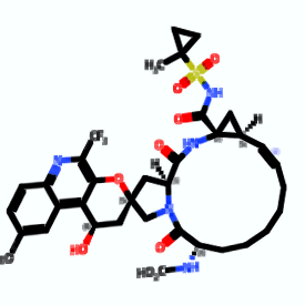 COc1ccc2nc(C(F)(F)F)c3c(c2c1)[C@H](O)C[C@]1(C[C@H]2C(=O)N[C@]4(C(=O)NS(=O)(=O)C5(C)CC5)C[C@H]4/C=C\CCCCC[C@H](NC(=O)O)C(=O)N2C1)O3